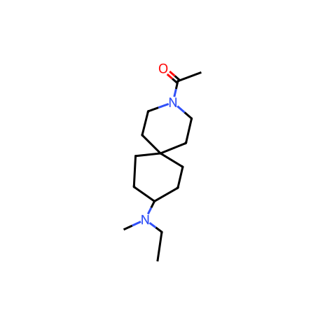 CCN(C)C1CCC2(CC1)CCN(C(C)=O)CC2